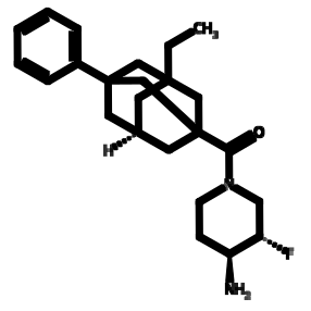 CCC12C[C@H]3CC(C(=O)N4CC[C@H](N)[C@@H](F)C4)(C1)CC(c1ccccc1)(C3)C2